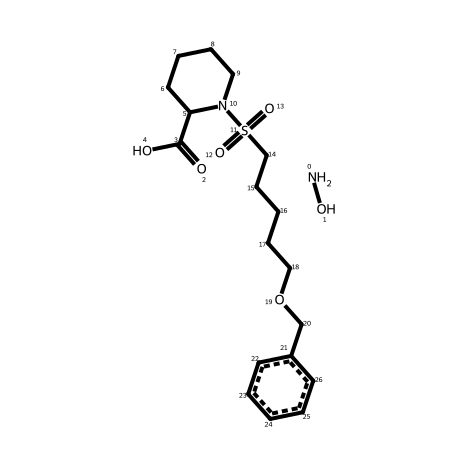 NO.O=C(O)C1CCCCN1S(=O)(=O)CCCCCOCc1ccccc1